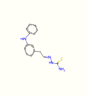 NC(=S)NN=CCc1cccc(Nc2ccccc2)c1